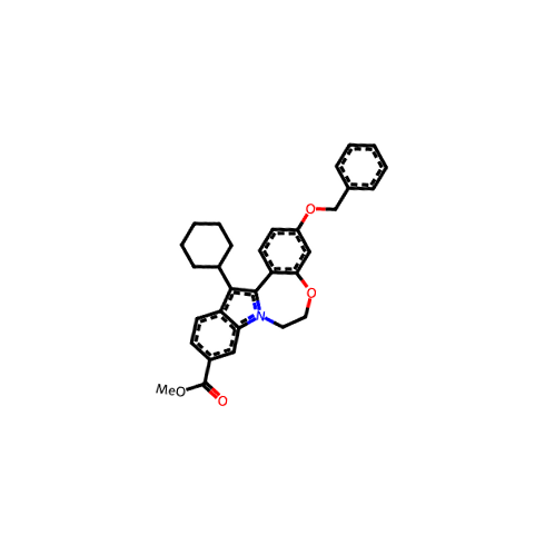 COC(=O)c1ccc2c(C3CCCCC3)c3n(c2c1)CCOc1cc(OCc2ccccc2)ccc1-3